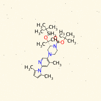 Cc1cc(-n2c(C)ccc2C)ncc1N1CCN(C(=O)OC(C)(C)C)[C@@H](C(C)(C)O[SiH2]C(C)(C)C)C1